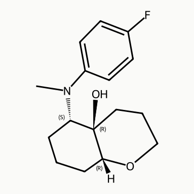 CN(c1ccc(F)cc1)[C@H]1CCC[C@H]2OCCC[C@@]12O